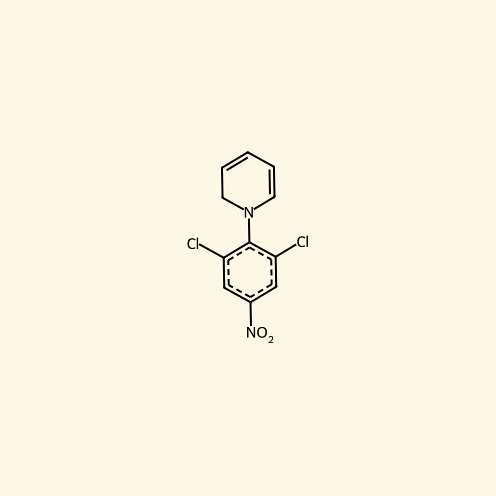 O=[N+]([O-])c1cc(Cl)c(N2C=CC=CC2)c(Cl)c1